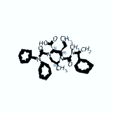 C=C(c1ccccc1)N(C)C(=O)N1[C@H](CC)[C@@H](C(=O)O)N(C(=O)N(c2ccccc2)c2ccccc2)C[C@@H]1C